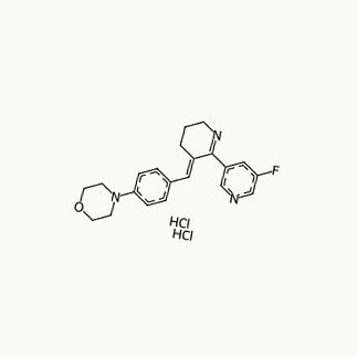 Cl.Cl.Fc1cncc(C2=NCCCC2=Cc2ccc(N3CCOCC3)cc2)c1